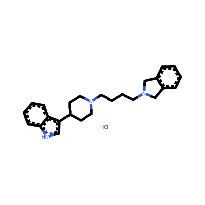 Cl.c1ccc2c(c1)CN(CCCCN1CCC(c3c[nH]c4ccccc34)CC1)C2